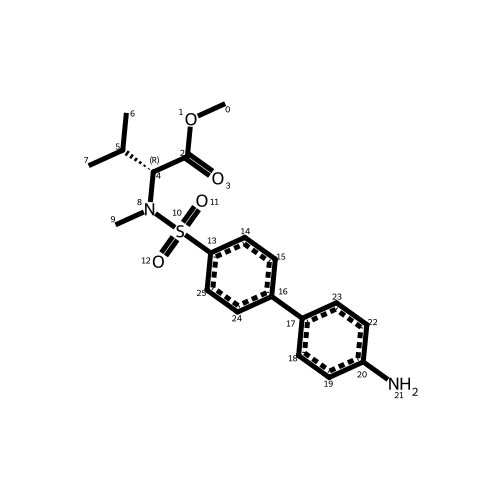 COC(=O)[C@@H](C(C)C)N(C)S(=O)(=O)c1ccc(-c2ccc(N)cc2)cc1